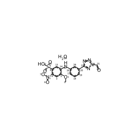 COc1cc([N+](=O)[O-])c(S(=O)(=O)O)cc1Nc1cccc(-c2nnn(C=O)n2)c1.O